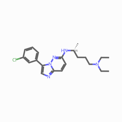 CCN(CC)CCC[C@@H](C)Nc1ccc2ncc(-c3cccc(Cl)c3)n2n1